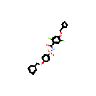 O=C(NS(=O)(=O)c1ccc(OCc2ccccc2)cc1)c1cc(Cl)c(OCC2CCCC2)cc1F